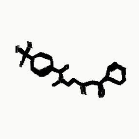 CN(CCNCC(=O)c1ccccc1)C(=O)c1ccc(C(F)(F)F)cc1